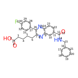 O=C(O)CCCCc1nc2cc(C(=O)NCc3ccccc3)ccc2nc1-c1ccc(F)cc1